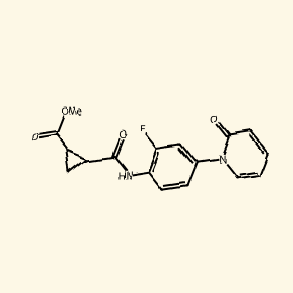 COC(=O)C1CC1C(=O)Nc1ccc(-n2ccccc2=O)cc1F